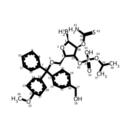 B[C@@H]1O[C@H](COC(c2ccccc2)(c2ccc(CO)cc2)c2ccc(OC)cc2)C(OP(=O)(O)OC(C)C)[C@@H]1OC(N)=S